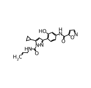 C=CCNC(=O)n1nc(-c2ccc(NC(=O)c3ccno3)cc2O)cc1C1CC1